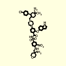 CC1(C)CCC(CN2CCN(c3ccc(C(=O)NS(=O)(=O)c4ccc(NCC5(N)CCOCC5)c([N+](=O)[O-])c4)c(Oc4ccc5[nH]ccc5c4)c3)CC2)=C(c2ccc(Cl)cc2)C1